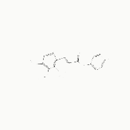 COc1ccc(C=CC(=O)Oc2ccccc2)c(OC)c1OC